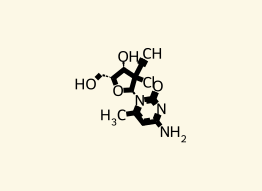 C#CC1(Cl)[C@@H](O)[C@@H](CO)O[C@H]1n1c(C)cc(N)nc1=O